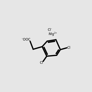 O=C([O-])Cc1ccc(Cl)cc1Cl.[Cl-].[Mg+2]